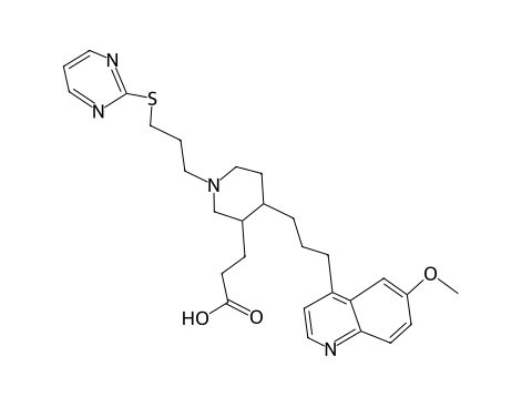 COc1ccc2nccc(CCCC3CCN(CCCSc4ncccn4)CC3CCC(=O)O)c2c1